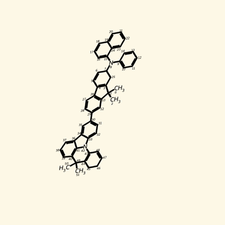 CC1(C)C2=C(C=CC(N(c3ccccc3)c3cccc4ccccc34)C2)c2ccc(-c3ccc4c(c3)c3cccc5c3n4C3=C(CCC=C3)C5(C)C)cc21